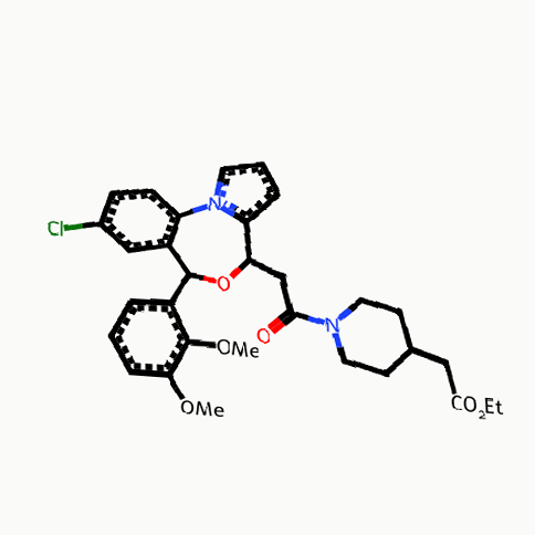 CCOC(=O)CC1CCN(C(=O)CC2OC(c3cccc(OC)c3OC)c3cc(Cl)ccc3-n3cccc32)CC1